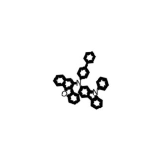 c1ccc(-c2ccc(N(c3ccc4c5ccccc5n(-c5ccccc5)c4c3)c3cc4ccccc4c4oc5ccccc5c34)cc2)cc1